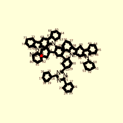 N#Cc1ccc(-c2cc(-c3cc(-c4nc(-c5ccccc5)nc(-c5ccccc5)n4)ccc3-n3c4ccccc4c4cc5c6ccccc6n(-c6ccccc6)c5cc43)ccc2-n2c3ccccc3c3cc4c5ccccc5n(-c5ccccc5)c4cc32)cc1